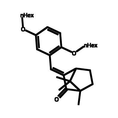 CCCCCCOc1ccc(OCCCCCC)c(C=C2C(=O)C3(C)CCC2C3(C)C)c1